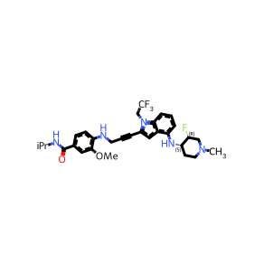 COc1cc(C(=O)NC(C)C)ccc1NCC#Cc1cc2c(N[C@H]3CCN(C)C[C@H]3F)cccc2n1CC(F)(F)F